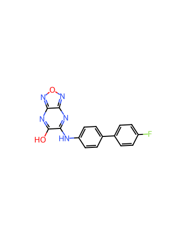 Oc1nc2nonc2nc1Nc1ccc(-c2ccc(F)cc2)cc1